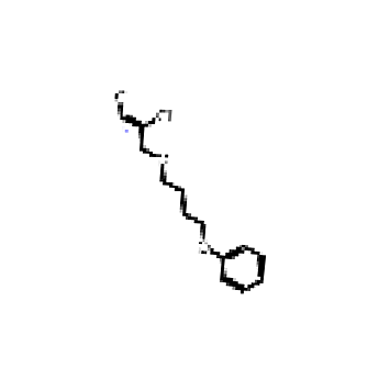 Cl/C=C(\Cl)COCCCCOc1ccccc1